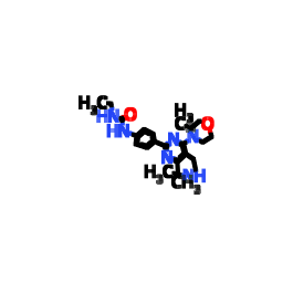 CCNC(=O)Nc1ccc(-c2nc(N3CCOC[C@@H]3C)c3c(n2)C(C)(C)NCC3)cc1